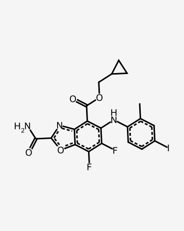 Cc1cc(I)ccc1Nc1c(F)c(F)c2oc(C(N)=O)nc2c1C(=O)OCC1CC1